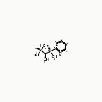 O=P(O)(O)C(O)P(=O)(O)c1ccccn1